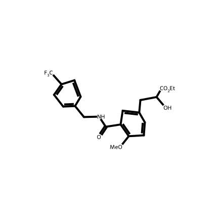 CCOC(=O)C(O)Cc1ccc(OC)c(C(=O)NCc2ccc(C(F)(F)F)cc2)c1